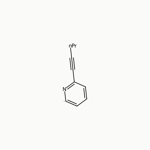 CCCC#Cc1ccc[c]n1